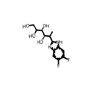 CC(c1nc2cc(F)c(F)cc2[nH]1)[C@@H](O)[C@H](O)C(O)CO